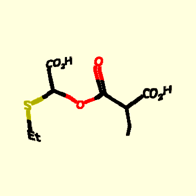 CCSC(OC(=O)C(C)C(=O)O)C(=O)O